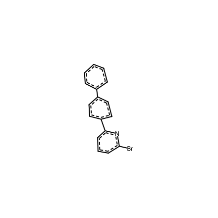 Brc1cccc(-c2ccc(-c3ccccc3)cc2)n1